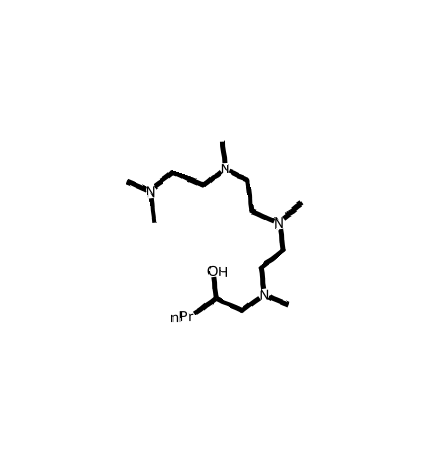 CCCC(O)CN(C)CCN(C)CCN(C)CCN(C)C